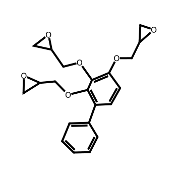 c1ccc(-c2ccc(OCC3CO3)c(OCC3CO3)c2OCC2CO2)cc1